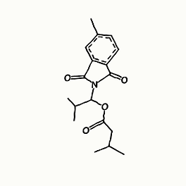 Cc1ccc2c(c1)C(=O)N(C(OC(=O)CC(C)C)C(C)C)C2=O